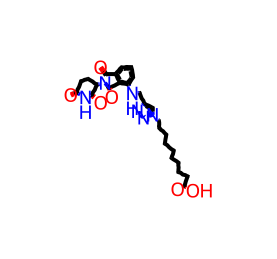 O=C(O)CCCCCCCCCn1cc(CNc2cccc3c2C(=O)N(C2CCC(=O)NC2=O)C3=O)nn1